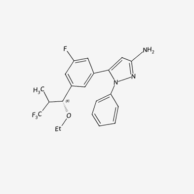 CCO[C@@H](c1cc(F)cc(-c2cc(N)nn2-c2ccccc2)c1)C(C)C(F)(F)F